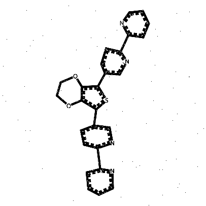 c1ccc(-c2ccc(-c3sc(-c4ccc(-c5ccccn5)nc4)c4c3OCCO4)cn2)nc1